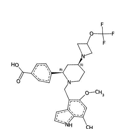 COc1cc(C)c2[nH]ccc2c1CN1CC[C@H](N2CC(OC(F)(F)F)C2)C[C@@H]1c1ccc(C(=O)O)cc1